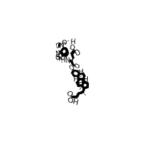 C[C@H](CCC(=O)O)C1CC[C@H]2[C@@H]3CC[C@@H]4C[C@H](OC(=O)[C@H](CCC(=O)O)Nc5ccc([N+](=O)[O-])c6nonc56)CC[C@]4(C)[C@H]3C=C[C@]12C